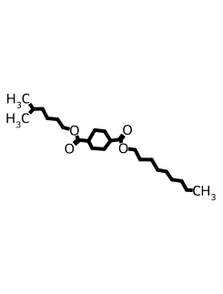 CCCCCCCCCOC(=O)C1CCC(C(=O)OCCCCC(C)C)CC1